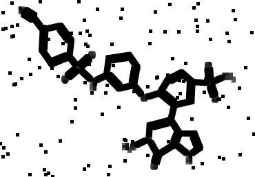 Cn1cc(-c2cc(S(C)(=O)=O)ccc2Oc2cccc(NS(=O)(=O)c3ccc(C#N)cc3)c2)c2cc[nH]c2c1=O